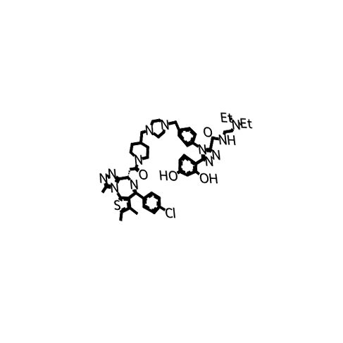 CCN(CC)CCNC(=O)c1nnc(-c2ccc(O)cc2O)n1-c1ccc(CN2CCN(CC3CCN(C(=O)C[C@@H]4N=C(c5ccc(Cl)cc5)c5c(sc(C)c5C)-n5c(C)nnc54)CC3)CC2)cc1